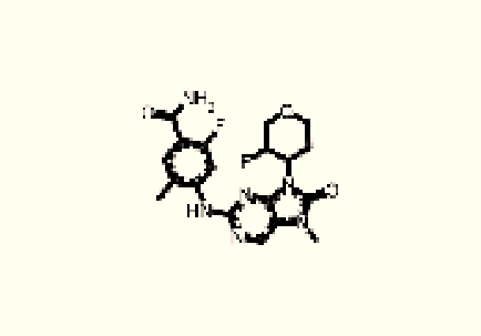 Cc1cc(C(N)=O)c(F)cc1Nc1ncc2c(n1)n(C1CCOCC1F)c(=O)n2C